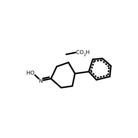 CC(=O)O.ON=C1CCC(c2ccccc2)CC1